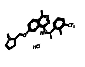 Cc1c([C@@H](C)Nc2nnc(C)c3ccc(OCC4CCCN4C)cc23)cccc1C(F)(F)F.Cl